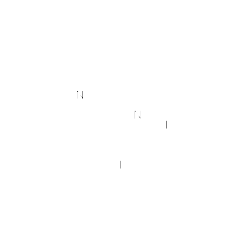 IC1C=NC=CN1I